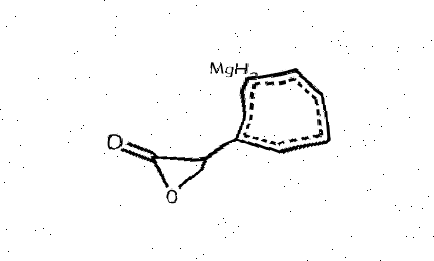 O=C1OC1c1ccccc1.[MgH2]